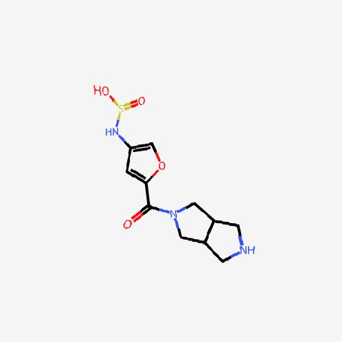 O=C(c1cc(NS(=O)O)co1)N1CC2CNCC2C1